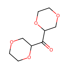 O=C(C1COCCO1)C1COCCO1